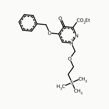 CCOC(=O)c1nn(COCCS(C)(C)C)cc(OCc2ccccc2)c1=O